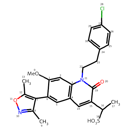 COc1cc2c(cc1-c1c(C)noc1C)cc(C(C)S(=O)(=O)O)c(=O)n2CCc1ccc(Cl)cc1